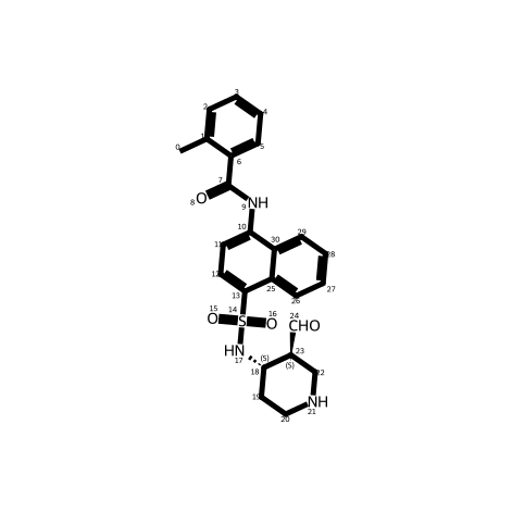 Cc1ccccc1C(=O)Nc1ccc(S(=O)(=O)N[C@H]2CCNC[C@@H]2C=O)c2ccccc12